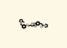 CC1CCCN1Cc1cccc(OCCCc2nc3cc(CC(=O)N4CCCC4)ccc3[nH]2)c1